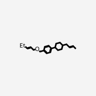 CC=CCC1CCC(c2ccc(COCC=CCC)cc2)CC1